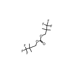 CC(C)(COC(=O)OCC(C)(C)C(F)(F)F)C(F)(F)F